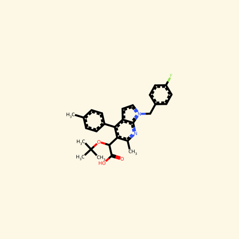 Cc1ccc(-c2c(C(OC(C)(C)C)C(=O)O)c(C)nc3c2ccn3Cc2ccc(F)cc2)cc1